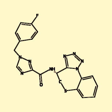 O=C(N[C@H]1CSc2ccccc2-n2nnnc21)c1ncn(Cc2ccc(F)cc2)n1